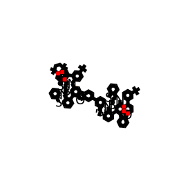 CC(C)(C)c1ccc(N2c3cc4c(oc5cc(-c6ccc7c(c6)[Si](C)(C)c6cccc8c6N7B6c7sc9ccccc9c7N(c7ccc(C(C)(C)C)cc7-c7ccccc7)c7cc9oc%10ccccc%10c9c-8c76)ccc54)c4c3B(c3sc5cc6c(cc5c32)C(C)(C)CCC6(C)C)N2c3ccccc3Sc3cccc-4c32)c(-c2ccccc2)c1